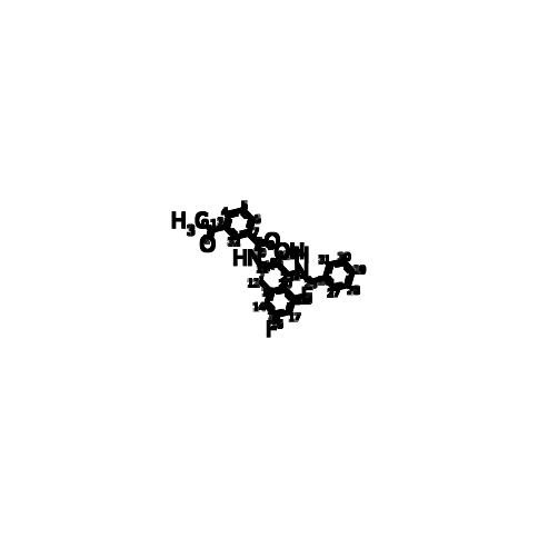 CC(=O)c1cccc(C(=O)N[C@@H](Cc2cc(F)cc(F)c2)[C@H](O)CNCc2ccccc2)c1